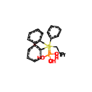 CC(C)CS(c1ccccc1)(c1ccccc1)(c1ccccc1)=P(O)(O)O